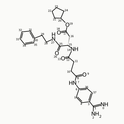 N=C(N)c1ccc(NC(=O)CCC(=O)N[C@@H](CC(=O)OC2CCCC2)C(=O)NCCc2ccccc2)cc1